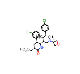 C[C@@H](Cc1ccc(Cl)cc1)C(CN(C)C1COC1)[C@H]1NC(=O)[C@@H](CC(=O)O)C[C@@H]1c1cccc(Cl)c1